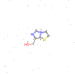 OCc1ncn2ccsc12